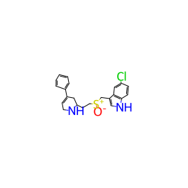 [O-][S+](CCC1CC(c2ccccc2)=CCN1)Cc1c[nH]c2ccc(Cl)cc12